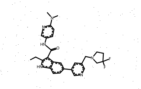 CCc1[nH]c2ccc(-c3cncc(CN4CCC(F)(F)C4)c3)cc2c1C(=O)Nc1ccc(N(C)C)nc1